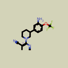 C=N/C(=C(\C)C#N)N1CCCC(c2ccc(OC(F)(F)F)c(N)c2)C1